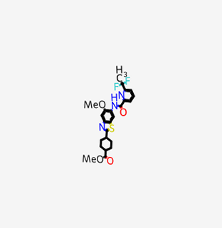 COC(=O)C1CCC(c2nc3cc(OC)c(NC(=O)c4cccc(C(C)(F)F)n4)cc3s2)CC1